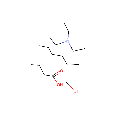 CCCC(=O)O.CCCCCC.CCN(CC)CC.CO